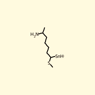 CS[CH]([SnH])CCCCC(C)N